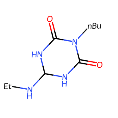 CCCCN1C(=O)NC(NCC)NC1=O